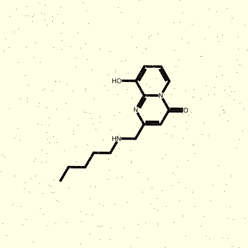 CCCCCNCc1cc(=O)n2cccc(O)c2n1